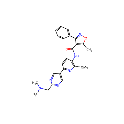 COc1nc(-c2cnc(CN(C)C)nc2)ccc1NC(=O)c1c(-c2ccccc2)noc1C